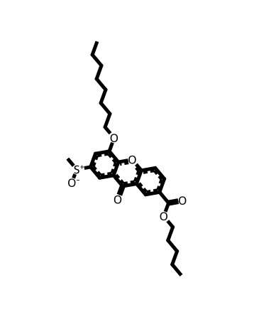 CCCCCCCCOc1cc([S+](C)[O-])cc2c(=O)c3cc(C(=O)OCCCCC)ccc3oc12